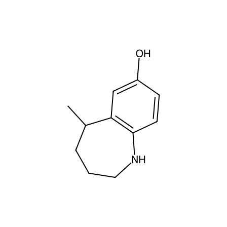 CC1CCCNc2ccc(O)cc21